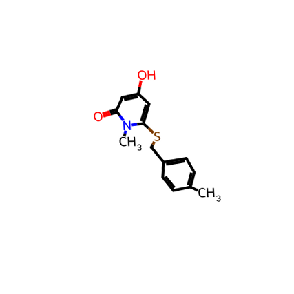 Cc1ccc(CSc2cc(O)cc(=O)n2C)cc1